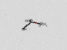 COC(=O)CCCCCC[C@@H]1SC[C@H](O)[C@@H]1C=CCCCCCCO